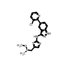 CON(C)Cc1cnc(Nc2n[nH]c3ccc(-c4ncccc4Cl)cc23)s1